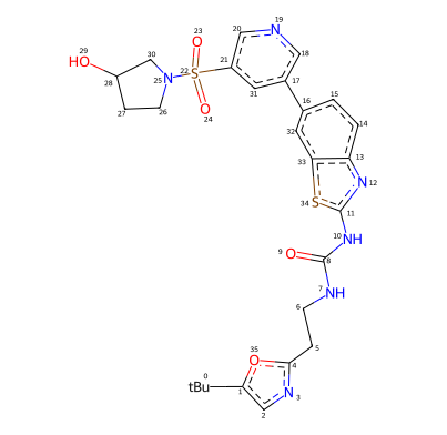 CC(C)(C)c1cnc(CCNC(=O)Nc2nc3ccc(-c4cncc(S(=O)(=O)N5CCC(O)C5)c4)cc3s2)o1